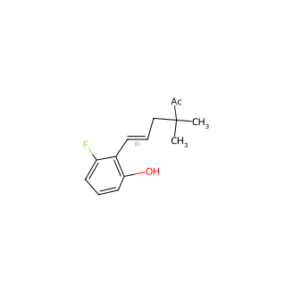 CC(=O)C(C)(C)C/C=C/c1c(O)cccc1F